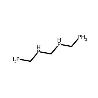 PCPCPCP